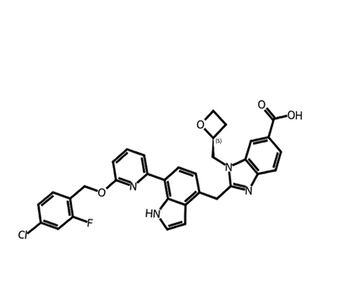 O=C(O)c1ccc2nc(Cc3ccc(-c4cccc(OCc5ccc(Cl)cc5F)n4)c4[nH]ccc34)n(C[C@@H]3CCO3)c2c1